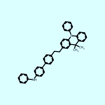 CC1(C)c2ccccc2N(c2ccccc2)c2ccc(CCc3ccc(-c4ccc(Nc5ccccc5)cc4)cc3)cc21